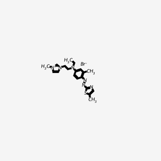 CCN(CCn1cc[n+](C)c1)c1ccc(N=Nc2ncc(C)s2)c(C)c1.[Br-]